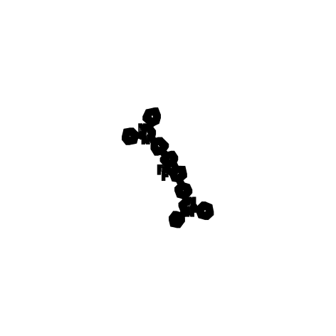 FC1(F)c2cc(-c3ccc(-c4cc(-c5ccccc5)nc(-c5ccccc5)n4)cc3)ccc2-c2ccc(-c3ccc(-c4cc(-c5ccccc5)nc(-c5ccccc5)n4)cc3)cc21